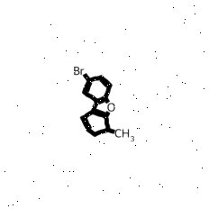 CC1CC=Cc2c1oc1ccc(Br)cc21